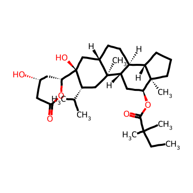 CCC(C)(C)C(=O)O[C@H]1C[C@H]2[C@@H](CC[C@H]3C[C@@](O)([C@H]4C[C@@H](O)CC(=O)O4)[C@@H](C(C)C)C[C@@]32C)[C@@H]2CCC[C@@]12C